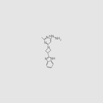 Cc1nc(NN)cc(N2CC(c3nc4ccccc4[nH]3)C2)n1